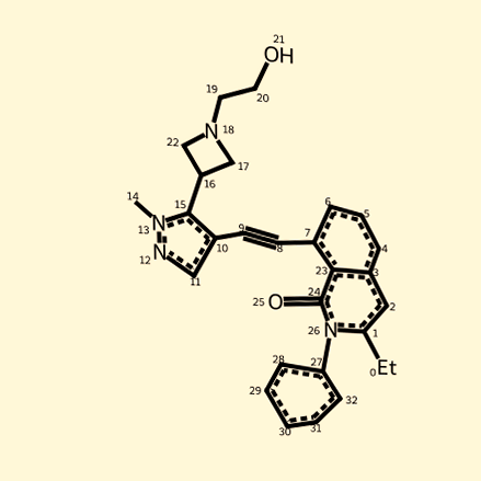 CCc1cc2cccc(C#Cc3cnn(C)c3C3CN(CCO)C3)c2c(=O)n1-c1ccccc1